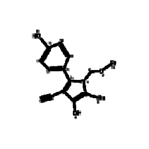 C#Cc1c(O)c(C(C)(C)C)n(COCC)c1-c1ccc(O)cc1